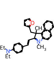 CCN(CC)c1ccc(/C=C/C2=[N+](C)c3ccc4ccccc4c3C2(C)Cc2ccco2)cc1